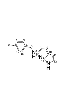 Cc1ccc(CNc2ccc3cc[nH]c3n2)cc1